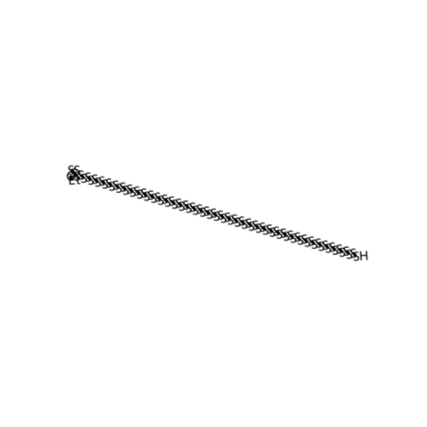 CCOS(=S)(=S)SSSSSSSSSSSSSSSSSSSSSSSSSSSSSSSSSSSSSSSSSSSSSSSSSSSSSSSSSSSSSSSSSSSSSSSSSSSSSSSSS